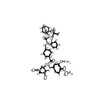 COc1ccc([C@H](Cc2c(Cl)c[n+]([O-])cc2Cl)OC(=O)c2ccc(CN(C(=O)O[C@H]3CN4CCC3CC4)c3ccccc3OC(F)F)cc2)cc1OC